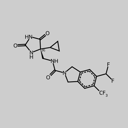 O=C1NC(=O)[C@](CNC(=O)N2Cc3cc(C(F)F)c(C(F)(F)F)cc3C2)(C2CC2)N1